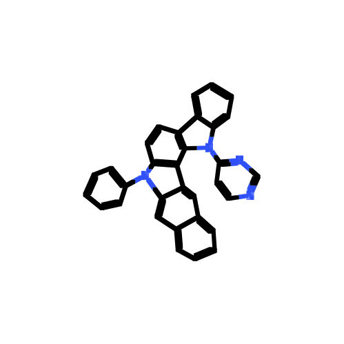 c1ccc(-n2c3cc4ccccc4cc3c3c2ccc2c4ccccc4n(-c4ccncn4)c23)cc1